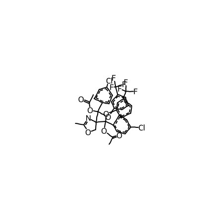 CC(=O)OC(Oc1cccc(C(F)(F)F)c1)(c1ccc(Cl)cc1)C1(C(OC(C)=O)(Oc2cccc(C(F)(F)F)c2)c2ccc(Cl)cc2)COC(C)=N1